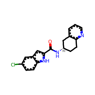 O=C(N[C@H]1CCc2ncccc2C1)c1cc2cc(Cl)ccc2[nH]1